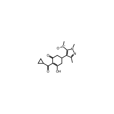 Cc1nn(C)c([S+](C)[O-])c1C1CC(=O)C(C(=O)C2CC2)=C(O)C1